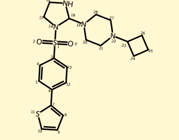 O=S(=O)(c1ccc(-c2cccs2)cc1)N1CCNC1N1CCN(C2CCC2)CC1